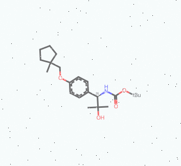 CC1(COc2ccc([C@@H](NC(=O)OC(C)(C)C)C(C)(C)O)cc2)CCCC1